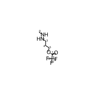 CNNCCCOC(=O)C(F)(F)F